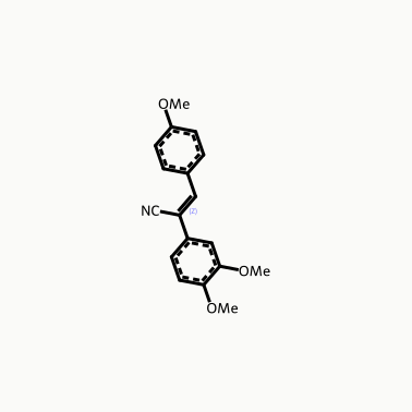 COc1ccc(/C=C(\C#N)c2ccc(OC)c(OC)c2)cc1